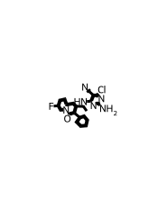 CC(Nc1nc(N)nc(Cl)c1C#N)c1cc2ccc(F)cn2c(=O)c1-c1ccccc1